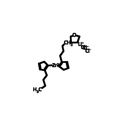 C1CCOC1.CCCCC1=[C]([Zr+2][C]2=C(CCCC)C=CC2)CC=C1.[Cl-].[Cl-].[Cl-].[Li+]